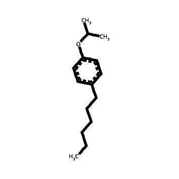 CCCCCCc1ccc(OC(C)C)cc1